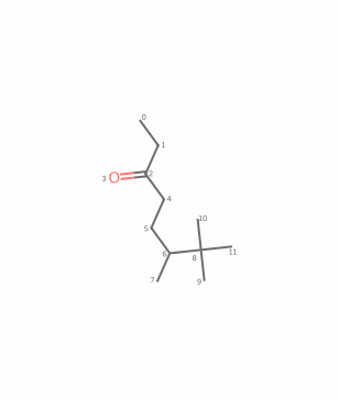 CCC(=O)CCC(C)C(C)(C)C